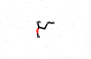 [CH2]COC(CCC)CCCCCC